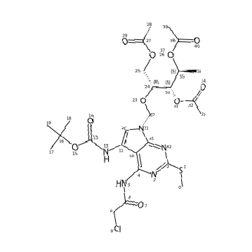 CSc1nc(NC(=O)CCl)c2c(NC(=O)OC(C)(C)C)cn(CO[C@H](COC(C)=O)[C@@H](OC(C)=O)[C@H](C)OC(C)=O)c2n1